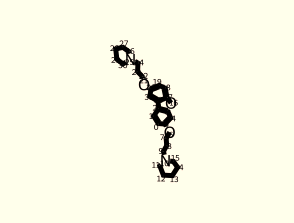 c1cc2c(cc1OCCCN1CCCCC1)oc1ccc(OCCCN3CCCCC3)cc12